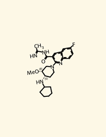 CO[C@@H]1CN(c2nc3ccc(F)cc3cc2C(=O)NC(C)=N)CC[C@@H]1NC1CCCCC1